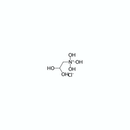 OC(O)C[N+](O)(O)O.[Cl-]